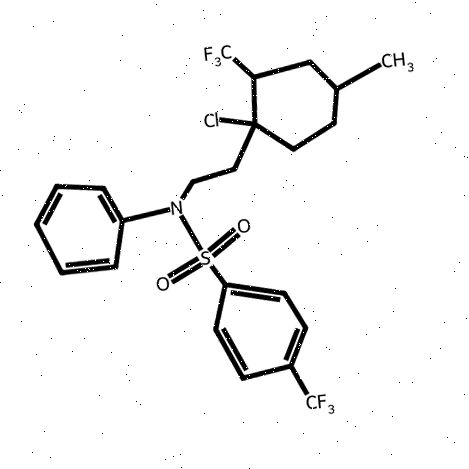 CC1CCC(Cl)(CCN(c2ccccc2)S(=O)(=O)c2ccc(C(F)(F)F)cc2)C(C(F)(F)F)C1